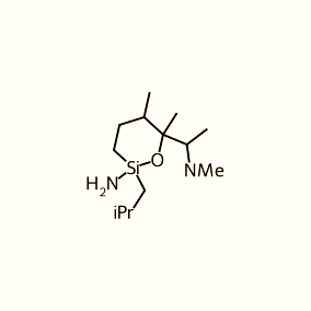 CNC(C)C1(C)O[Si](N)(CC(C)C)CCC1C